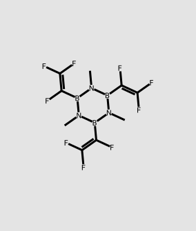 CN1B(C(F)=C(F)F)N(C)B(C(F)=C(F)F)N(C)B1C(F)=C(F)F